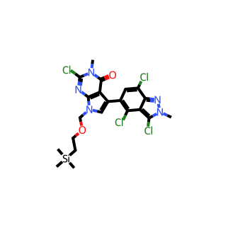 Cn1nc2c(Cl)cc(-c3cn(COCC[Si](C)(C)C)c4nc(Cl)n(C)c(=O)c34)c(Cl)c2c1Cl